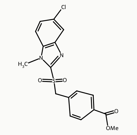 COC(=O)c1ccc(CS(=O)(=O)c2nc3cc(Cl)ccc3n2C)cc1